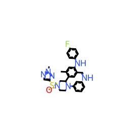 Cc1cc(Nc2ccc(F)cc2)c(C=N)cc1C1CN([S+]([O-])c2cnn(C)n2)CCN1c1ccccc1